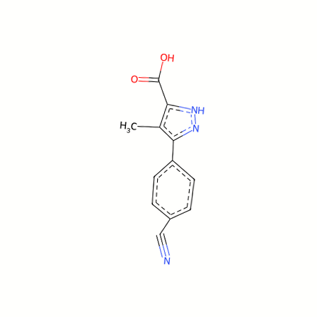 Cc1c(-c2ccc(C#N)cc2)n[nH]c1C(=O)O